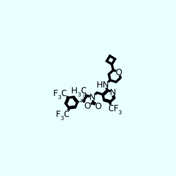 C[C@H]1[C@@H](c2cc(C(F)(F)F)cc(C(F)(F)F)c2)OC(=O)N1Cc1cc(C(F)(F)F)cnc1NC1CCOC(C2CCC2)C1